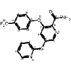 NC(=O)c1ncc(Sc2ccccn2)cc1Oc1ccc(C(F)(F)F)cc1